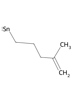 C=C(C)CC[CH2][Sn]